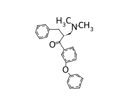 CN(C)C[C@H](Cc1ccccc1)C(=O)c1cccc(Oc2ccccc2)c1